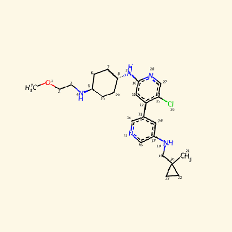 COCCN[C@H]1CC[C@H](Nc2cc(-c3cncc(NCC4(C)CC4)c3)c(Cl)cn2)CC1